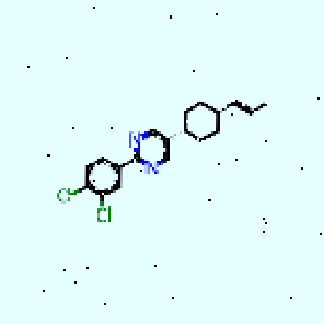 C/C=C/[C@H]1CC[C@H](c2cnc(-c3ccc(Cl)c(Cl)c3)nc2)CC1